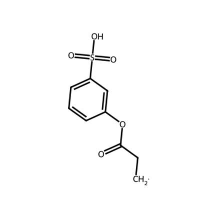 [CH2]CC(=O)Oc1cccc(S(=O)(=O)O)c1